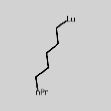 CCCCCCC[CH2][Lu]